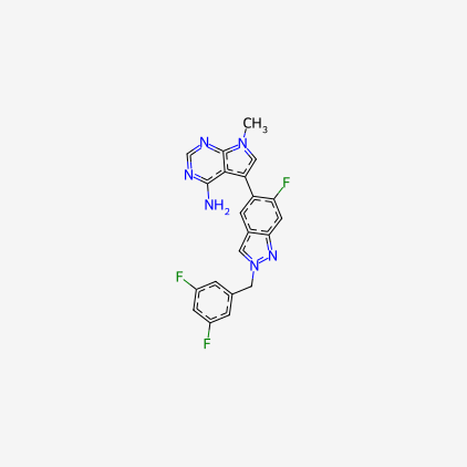 Cn1cc(-c2cc3cn(Cc4cc(F)cc(F)c4)nc3cc2F)c2c(N)ncnc21